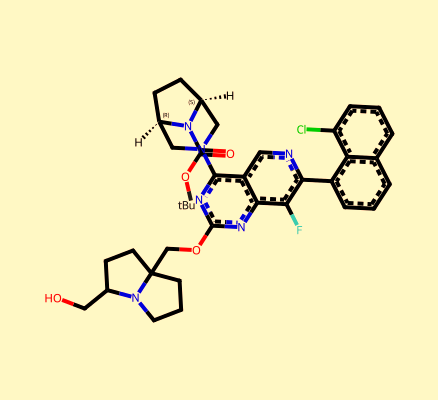 CC(C)(C)OC(=O)N1[C@@H]2CC[C@H]1CN(c1nc(OCC34CCCN3C(CO)CC4)nc3c(F)c(-c4cccc5cccc(Cl)c45)ncc13)C2